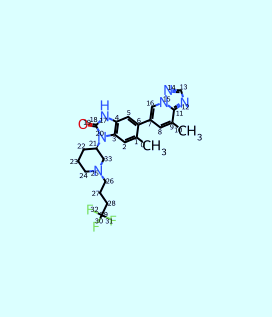 Cc1cc2c(cc1-c1cc(C)c3ncnn3c1)[nH]c(=O)n2[C@@H]1CCCN(CCCC(F)(F)F)C1